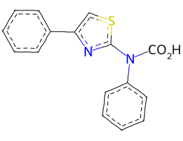 O=C(O)N(c1ccccc1)c1nc(-c2ccccc2)cs1